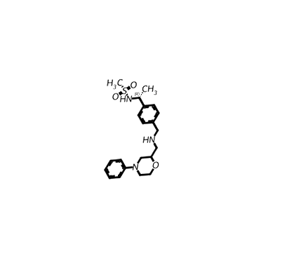 C[C@@H](NS(C)(=O)=O)c1ccc(CNCC2CN(c3ccccc3)CCO2)cc1